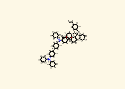 C=Cc1ccc(CC2(Cc3ccc(C=C)cc3)c3ccccc3-c3ccc(-c4ccc(N(c5ccccc5)c5ccc(-c6ccc(N(c7ccccc7)c7ccccc7)cc6)cc5)cc4)cc32)cc1